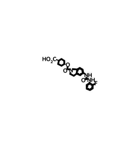 O=C(Nc1ccc2c(c1)CCN(C(=O)O[C@H]1CC[C@H](C(=O)O)CC1)C2)Nc1ccccc1F